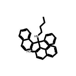 CCCCNC(c1ccccc1)(c1c(O)ccc2ccccc12)c1c(O)ccc2ccccc12